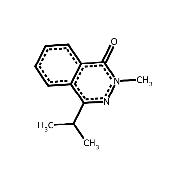 CC(C)c1nn(C)c(=O)c2ccccc12